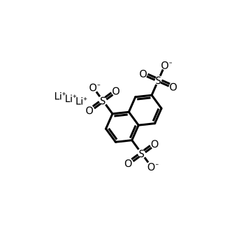 O=S(=O)([O-])c1ccc2c(S(=O)(=O)[O-])ccc(S(=O)(=O)[O-])c2c1.[Li+].[Li+].[Li+]